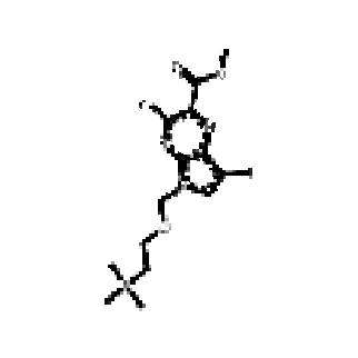 COC(=O)c1nc2c(I)cn(COCCS(C)(C)C)c2nc1Cl